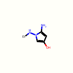 CCNn1cc(O)cc1N